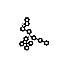 c1ccc(-c2ccc(-c3ccc(N(c4cccc(-c5cccc6oc7c8ccccc8ccc7c56)c4)c4ccc5c(c4)C(c4ccccc4)(c4ccccc4)c4ccccc4-5)cc3)cc2)cc1